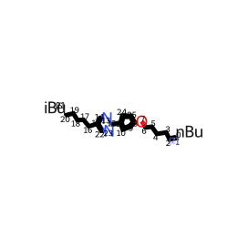 CCCC/C=C\CCCCOc1ccc(-c2ncc(CCCCC[C@@H](C)CC)cn2)cc1